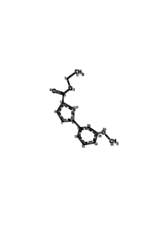 CCOC(=O)c1ccc(-c2cccc(OC)c2)s1